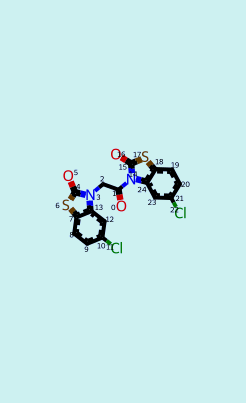 O=C(Cn1c(=O)sc2ccc(Cl)cc21)n1c(=O)sc2ccc(Cl)cc21